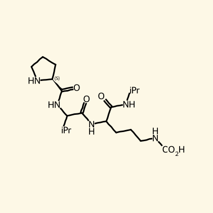 CC(C)NC(=O)C(CCCNC(=O)O)NC(=O)C(NC(=O)[C@@H]1CCCN1)C(C)C